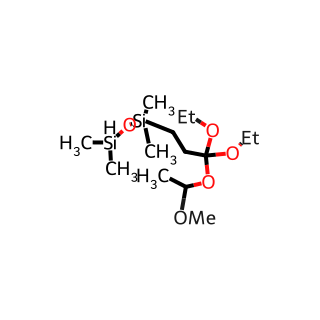 CCOC(CC[Si](C)(C)O[SiH](C)C)(OCC)OC(C)OC